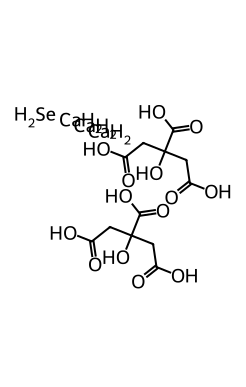 O=C(O)CC(O)(CC(=O)O)C(=O)O.O=C(O)CC(O)(CC(=O)O)C(=O)O.[CaH2].[CaH2].[CaH2].[SeH2]